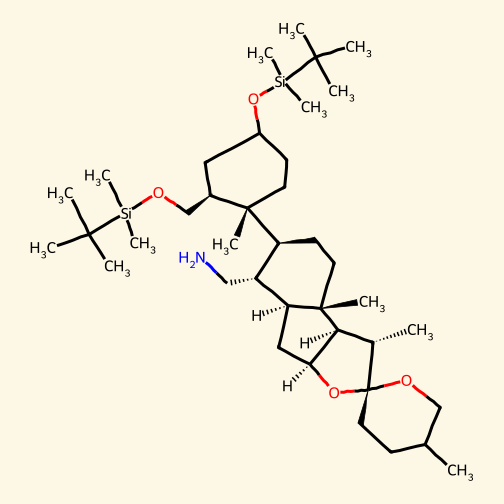 CC1CC[C@@]2(OC1)O[C@H]1C[C@H]3[C@H](CN)[C@@H]([C@@]4(C)CCC(O[Si](C)(C)C(C)(C)C)C[C@@H]4CO[Si](C)(C)C(C)(C)C)CC[C@]3(C)[C@H]1[C@@H]2C